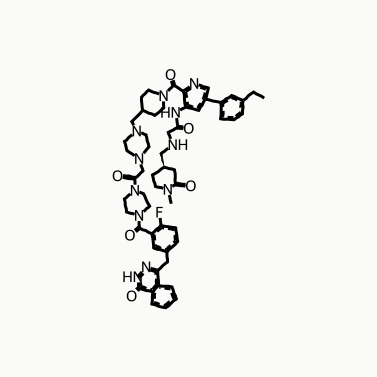 CCc1cccc(-c2cnc(C(=O)N3CCC(CN4CCN(CC(=O)N5CCN(C(=O)c6cc(Cc7n[nH]c(=O)c8ccccc78)ccc6F)CC5)CC4)CC3)c(NC(=O)CNC[C@@H]3CCN(C)C(=O)C3)c2)c1